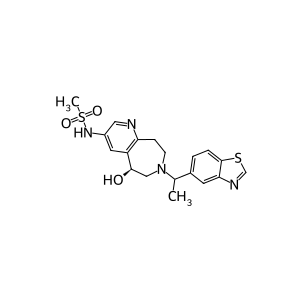 CC(c1ccc2scnc2c1)N1CCc2ncc(NS(C)(=O)=O)cc2[C@H](O)C1